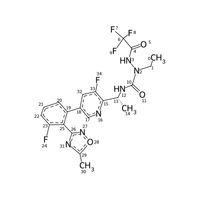 CCN(NC(=O)C(F)(F)F)C(=O)N[C@H](C)c1ncc(-c2cccc(F)c2-c2noc(C)n2)cc1F